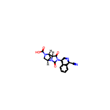 N#Cc1ncc(N2C(=O)[C@H]3[C@@H]4C[C@@H](CN4C(=O)O)N3C2=O)c2ccccc12